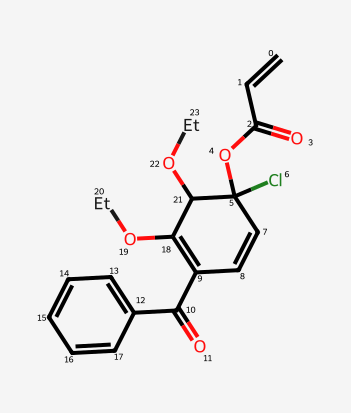 C=CC(=O)OC1(Cl)C=CC(C(=O)c2ccccc2)=C(OCC)C1OCC